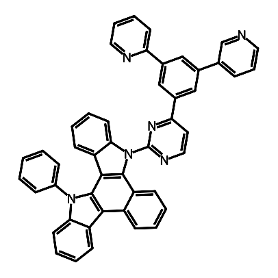 c1ccc(-n2c3ccccc3c3c4ccccc4c4c(c5ccccc5n4-c4nccc(-c5cc(-c6cccnc6)cc(-c6ccccn6)c5)n4)c32)cc1